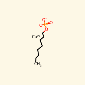 CCCCCCCCOP(=O)([O-])[O-].[Ca+2]